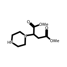 COC(=O)CC(C(=O)OC)N1CCNCC1